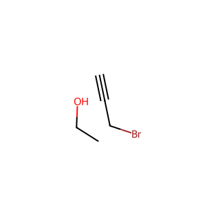 C#CCBr.CCO